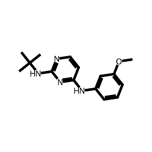 COc1cccc(Nc2ccnc(NC(C)(C)C)n2)c1